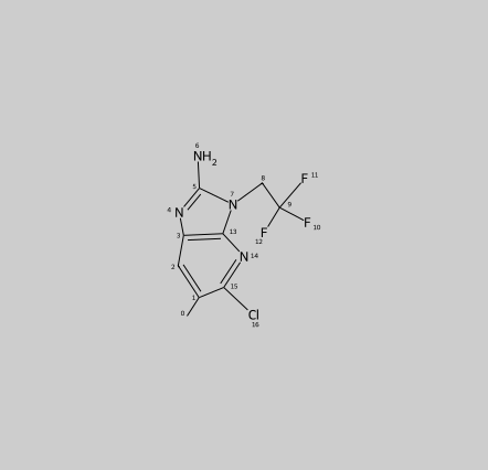 Cc1cc2nc(N)n(CC(F)(F)F)c2nc1Cl